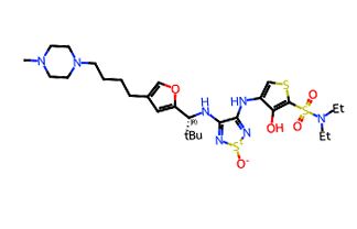 CCN(CC)S(=O)(=O)c1scc(Nc2n[s+]([O-])nc2N[C@@H](c2cc(CCCCN3CCN(C)CC3)co2)C(C)(C)C)c1O